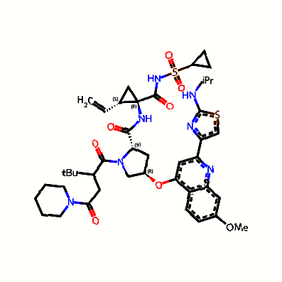 C=C[C@@H]1C[C@]1(NC(=O)[C@@H]1C[C@@H](Oc2cc(-c3csc(NC(C)C)n3)nc3cc(OC)ccc23)CN1C(=O)C(CC(=O)N1CCCCC1)C(C)(C)C)C(=O)NS(=O)(=O)C1CC1